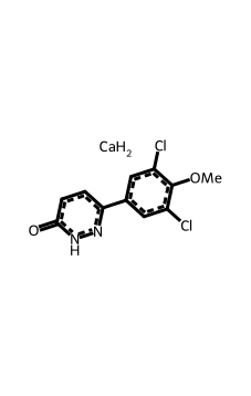 COc1c(Cl)cc(-c2ccc(=O)[nH]n2)cc1Cl.[CaH2]